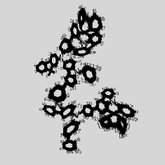 CC1(C)c2ccccc2-c2ccc(N(c3ccc(-c4cccc5c4-n4c6ccccc6c6cccc(c64)C54c5ccccc5-c5ccccc54)cc3)c3ccc4c(c3)c3cc(-c5cccc(-n6c7ccccc7c7cc(N(c8ccc(-c9ccccc9)cc8)c8ccc(-c9cc%10c%11c(c9)c9ccccc9n%11-c9ccccc9C%109c%10ccccc%10-c%10ccccc%109)cc8)ccc76)c5)ccc3n4-c3ccccc3)cc21